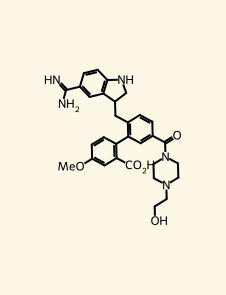 COc1ccc(-c2cc(C(=O)N3CCN(CCO)CC3)ccc2CC2CNc3ccc(C(=N)N)cc32)c(C(=O)O)c1